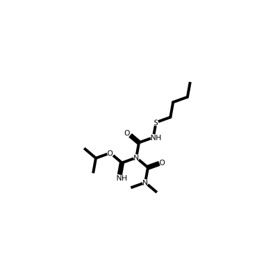 CCCCSNC(=O)N(C(=N)OC(C)C)C(=O)N(C)C